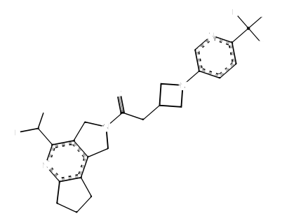 O=C(CC1CN(c2ccc(C(F)(F)F)nc2)C1)N1Cc2c(C(F)F)nc3c(c2C1)CCC3